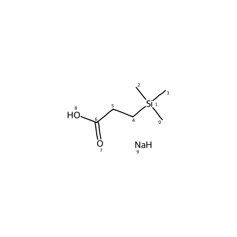 C[Si](C)(C)CCC(=O)O.[NaH]